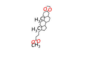 COC(=O)CCCC1CCC2C3CCC4CC5(CCC4(C)C3CCC12C)OCCO5